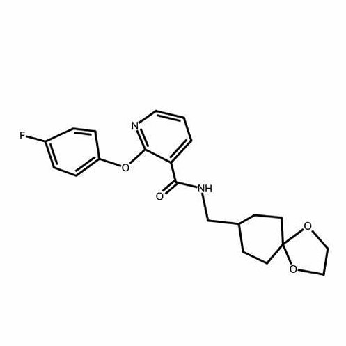 O=C(NCC1CCC2(CC1)OCCO2)c1cccnc1Oc1ccc(F)cc1